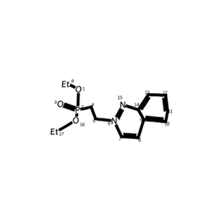 CCOP(=O)(CC[n+]1ccc2ccccc2n1)OCC